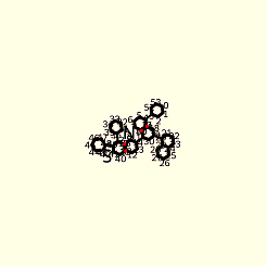 c1ccc(-c2ccc(N(c3ccccc3-c3cccc(-c4cccc5ccccc45)c3)c3ccccc3-c3cccc4sc5ccccc5c34)cc2)cc1